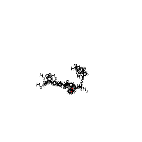 CN(CCCCCNc1cccc2c1C(=O)N(C1CCC(=O)NC1=O)C2=O)CC[C@H](CSc1ccccc1)Nc1ccc(S(=O)(=O)NC(=O)c2ccc(N3CCN(CC4=C(C56CC(C)(C5)C6)CC(C)(C)CC4)CC3)cc2)cc1S(=O)(=O)C(F)(F)F